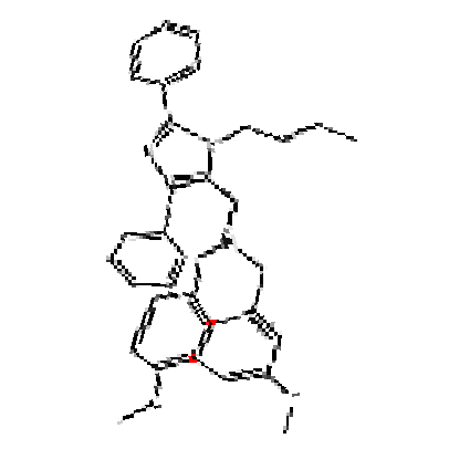 CCCCn1c(-c2ccccc2)nc(-c2ccccc2)c1CN(Cc1ccc(OC)cc1)Cc1cccc(OC)c1